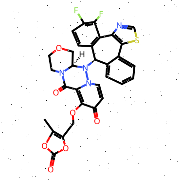 Cc1oc(=O)oc1COc1c2n(ccc1=O)N([C@@H]1c3ccccc3-c3scnc3-c3c1ccc(F)c3F)[C@@H]1COCCN1C2=O